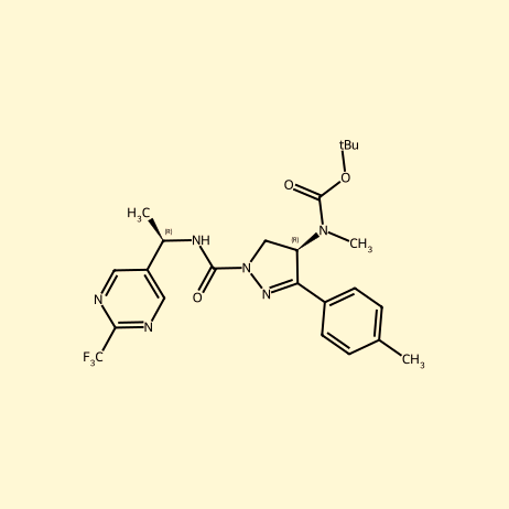 Cc1ccc(C2=NN(C(=O)N[C@H](C)c3cnc(C(F)(F)F)nc3)C[C@H]2N(C)C(=O)OC(C)(C)C)cc1